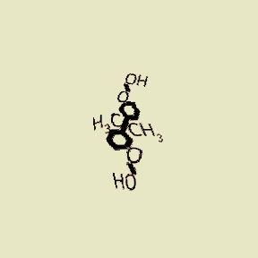 CC(C)(C1CCCC(OCCO)C1)C1CCCC(OCCO)C1